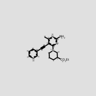 CCOC(=O)C1CCCN(c2nc(N)nc(C)c2C#Cc2cccnc2)C1